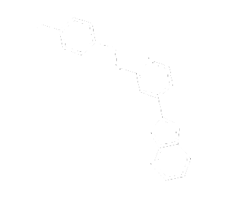 Clc1ccc(SNc2cc(-c3nc4ncccc4o3)ccn2)cc1